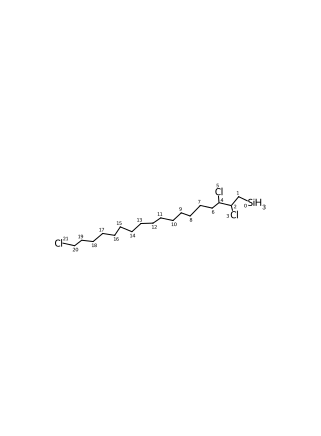 [SiH3]CC(Cl)C(Cl)CCCCCCCCCCCCCCCCl